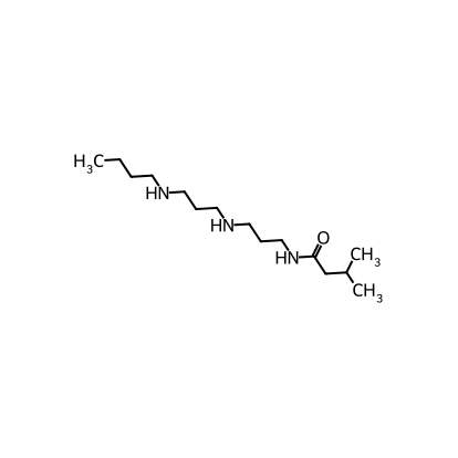 CCCCNCCCNCCCNC(=O)CC(C)C